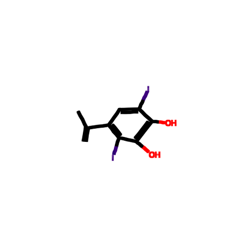 C=C(C)c1cc(I)c(O)c(O)c1I